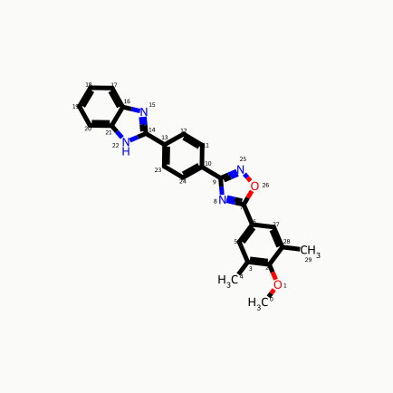 COc1c(C)cc(-c2nc(-c3ccc(-c4nc5ccccc5[nH]4)cc3)no2)cc1C